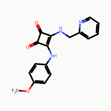 O=c1c(NCc2ccccn2)c(Nc2ccc(OC(F)(F)F)cc2)c1=O